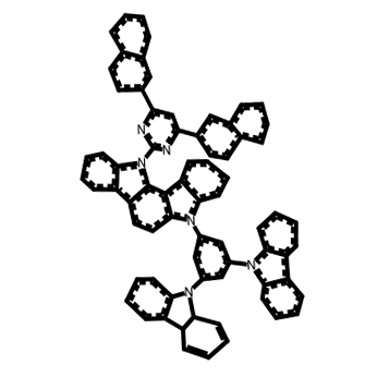 C1=CC2c3ccccc3N(c3cc(-n4c5ccccc5c5ccccc54)cc(-n4c5ccccc5c5c4ccc4c6ccccc6n(-c6nc(-c7ccc8ccccc8c7)cc(-c7ccc8ccccc8c7)n6)c45)c3)C2C=C1